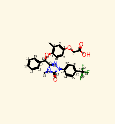 Cc1cc(OCC(=O)O)ccc1OC(c1ccccc1)c1nn(-c2ccc(C(F)(F)F)cc2)c(=O)n1C